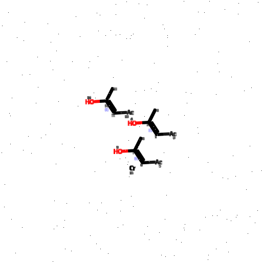 CC(=O)/C=C(\C)O.CC(=O)/C=C(\C)O.CC(=O)/C=C(\C)O.[Cr]